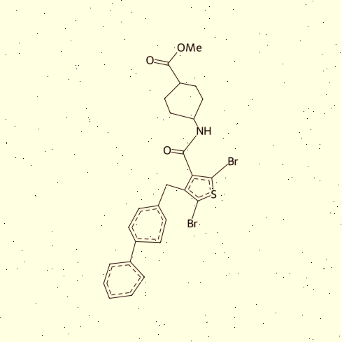 COC(=O)C1CCC(NC(=O)c2c(Br)sc(Br)c2Cc2ccc(-c3ccccc3)cc2)CC1